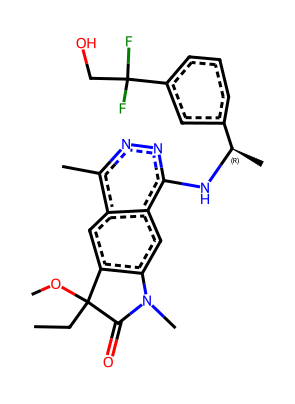 CCC1(OC)C(=O)N(C)c2cc3c(N[C@H](C)c4cccc(C(F)(F)CO)c4)nnc(C)c3cc21